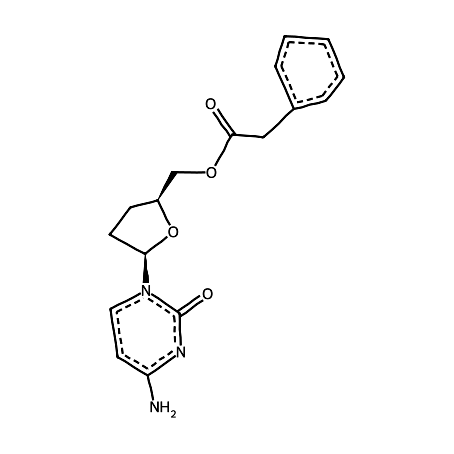 Nc1ccn([C@H]2CC[C@@H](COC(=O)Cc3ccccc3)O2)c(=O)n1